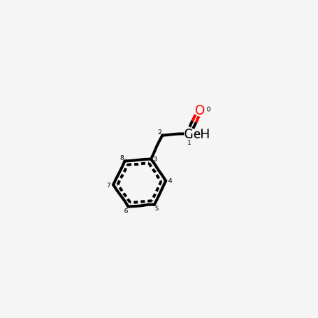 [O]=[GeH][CH2]c1ccccc1